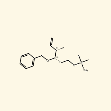 C=C[C@H](C)[C@H](CCO[Si](C)(C)C(C)(C)C)OCc1ccccc1